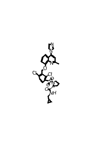 Cc1cc(-n2ccnc2)c2cccc(OCc3c(Cl)ccc(S(=O)(=O)N4CCC[C@H]4C(=O)NCC4CC4)c3Cl)c2n1